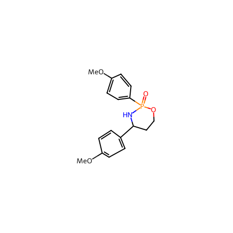 COc1ccc(C2CCOP(=O)(c3ccc(OC)cc3)N2)cc1